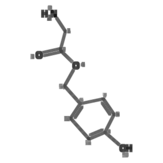 NCC(=O)O[CH]c1ccc(O)cc1